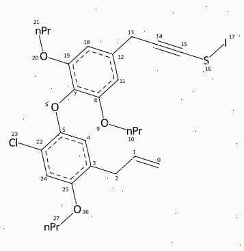 C=CCc1cc(Oc2c(OCCC)cc(CC#CSI)cc2OCCC)c(Cl)cc1OCCC